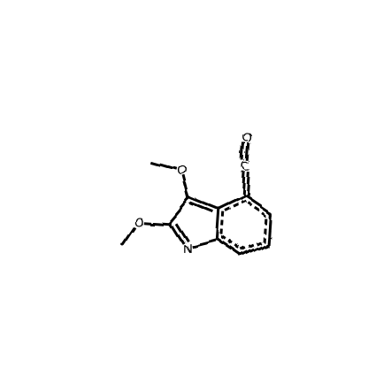 COC1=Nc2cccc(=C=O)c2=C1OC